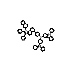 c1ccc(-c2c(-c3ccccc3)n(-c3ccc4ccccc4c3)c3c2ccc2c(-c4ccc(N(c5ccc(N(c6ccccc6)c6ccccc6)cc5)c5ccc6c(c5)c5ccccc5n6-c5ccccc5)cc4)cccc23)cc1